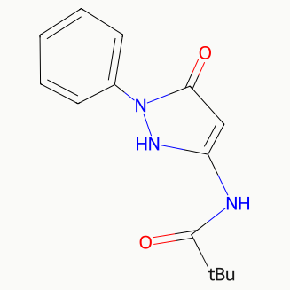 CC(C)(C)C(=O)Nc1cc(=O)n(-c2ccccc2)[nH]1